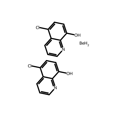 Oc1ccc(Cl)c2cccnc12.Oc1ccc(Cl)c2cccnc12.[BeH2]